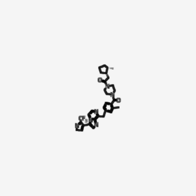 Cc1cc(Cc2nccn3c(C4=CCN=C4C(F)(F)F)cnc23)ccc1C(=O)N1CCN(C(=O)C[C@H]2CCC[C@@H]2C)CC1